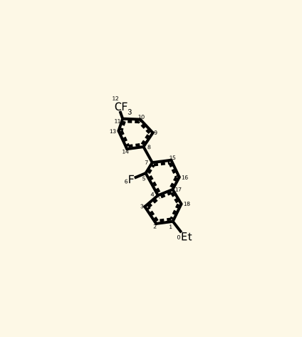 CCc1ccc2c(F)c(-c3ccc(C(F)(F)F)cc3)ccc2c1